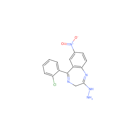 NNC1=Nc2ccc([N+](=O)[O-])cc2C(c2ccccc2Cl)=NC1